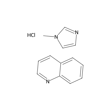 Cl.Cn1ccnc1.c1ccc2ncccc2c1